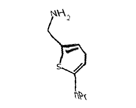 CCCc1ccc(CN)s1